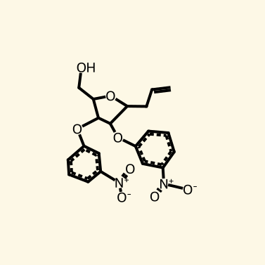 C=CCC1OC(CO)C(Oc2cccc([N+](=O)[O-])c2)C1Oc1cccc([N+](=O)[O-])c1